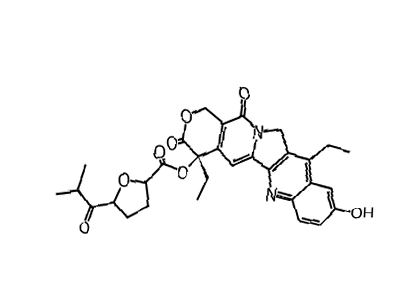 CCc1c2c(nc3ccc(O)cc13)-c1cc3c(c(=O)n1C2)COC(=O)[C@@]3(CC)OC(=O)C1CCC(C(=O)C(C)C)O1